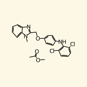 COC(C)=O.Cn1c(COc2ccc(Nc3c(Cl)cccc3Cl)cc2)nc2ccccc21